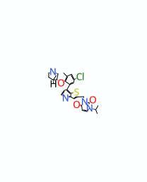 Cc1cc(Cl)cc(-c2ccnc3cc(Cn4c(=O)ccn(C(C)C)c4=O)sc23)c1O[C@@H]1CN2CC[C@@H]1C2